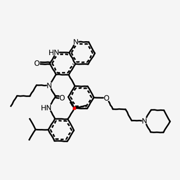 CCCCN(C(=O)Nc1c(C(C)C)cccc1C(C)C)c1c(-c2cccc(OCCCN3CCCCC3)c2)c2cccnc2[nH]c1=O